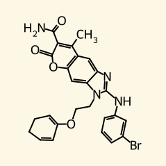 Cc1c(C(N)=O)c(=O)oc2cc3c(cc12)nc(Nc1cccc(Br)c1)n3CCOC1=CCCC=C1